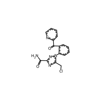 NC(=O)c1nc(CCl)n(-c2ccccc2C(=O)c2ccccn2)n1